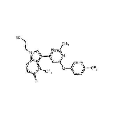 Cc1nc(Oc2ccc(C(F)(F)F)cc2)cc(-c2cn(CCC#N)c3ccc(=O)n(C)c23)n1